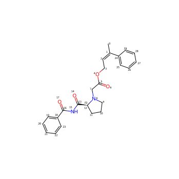 CC(=CCOC(=O)CN1CCC[C@H]1C(=O)NC(=O)c1ccccc1)c1ccccc1